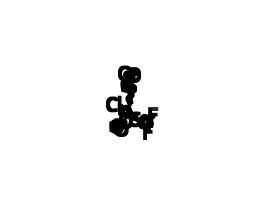 COC(=O)c1ccc(CCC[C@@H]2[C@@H](CSc3cc(F)cc(F)c3)[C@H](OC3CCCCO3)C[C@H]2Cl)s1